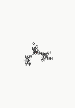 Cc1ccc(CCCC(=O)NCCCCCC(CNC(=O)CN2CCN(CC(=O)O)CCN(CC(=O)O)CCN(CC(=O)O)CC2)SC2CC(=O)N(CC(=O)N3CCC(CCCCOc4ccc5nccc(C(=O)NCC(=O)N6CC(F)(F)C[C@@H]6C#N)c5c4)CC3)C2=O)cc1